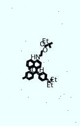 CCN(CC)c1ccc(C(c2ccc(C)cc2)c2ccc(NCCOC(=O)C(C)(C)CC)c3cccc(S(=O)(=O)O)c23)cc1